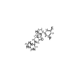 O=C1N2[C@@H](CC[C@H]2c2cc(F)cc(F)c2)OC12CCN(c1cncc3ncnn13)CC2